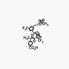 CC(NC(=O)c1c(C(F)(F)F)nn2c1N(Cc1cc(CCCOS(C)(=O)=O)cc(C(F)(F)F)c1)CC2)c1ccc(C(=O)O)cc1